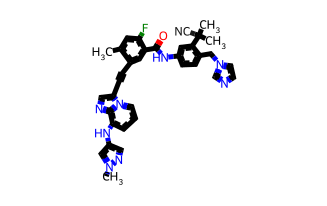 Cc1cc(F)c(C(=O)Nc2ccc(Cn3ccnc3)c(C(C)(C)C#N)c2)cc1C#Cc1cnc2c(Nc3cnn(C)c3)cccn12